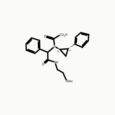 CCCCCCCCCCCCNC(=O)C(c1ccccc1)N(C(=O)C(=O)O)[C@@H]1C[C@H]1c1ccccc1